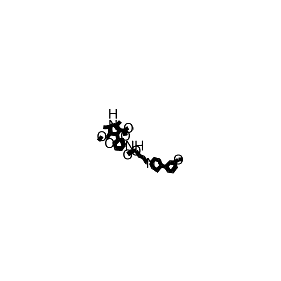 COC(=O)C1=C(C)NC(C)=C(C(=O)OC)C1c1cccc(NC(=O)OCCCN2CCC(c3cccc(OC)c3)CC2)c1